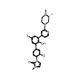 C[C@@H]1CN(c2cc(-c3cc(F)cc(-c4ccc(-n5ccn(C)c5=O)c(Cl)c4)c3O)ccn2)CCN1C